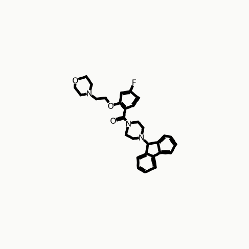 O=C(c1ccc(F)cc1OCCN1CCOCC1)N1CCN(C2c3ccccc3-c3ccccc32)CC1